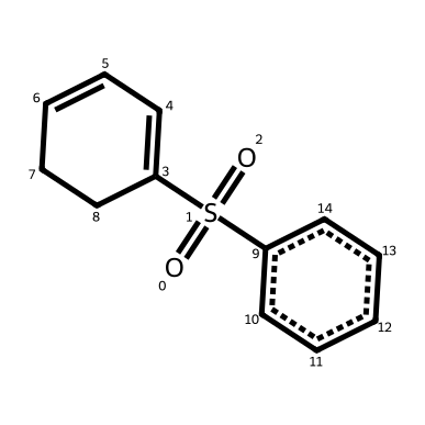 O=S(=O)(C1=CC=CCC1)c1ccccc1